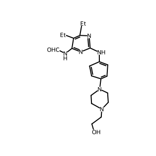 CCc1nc(Nc2ccc(N3CCN(CCO)CC3)cc2)nc(NC=O)c1CC